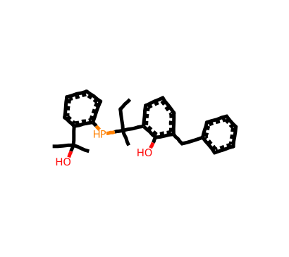 CCC(C)(Pc1ccccc1C(C)(C)O)c1cccc(Cc2ccccc2)c1O